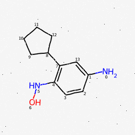 Nc1ccc(NO)c(C2CCCC2)c1